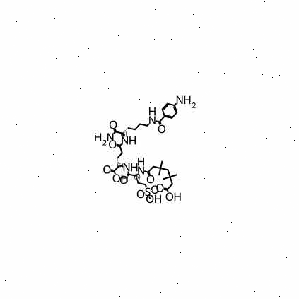 CC(C)(CC(=O)O)CC(C)(C)CC(=O)N[C@@H](CCS(=O)(=O)O)C(=O)N[C@@H](CCC(=O)N[C@@H](CCCCNC(=O)c1ccc(N)cc1)C(N)=O)C(=O)O